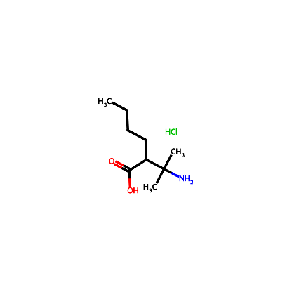 CCCCC(C(=O)O)C(C)(C)N.Cl